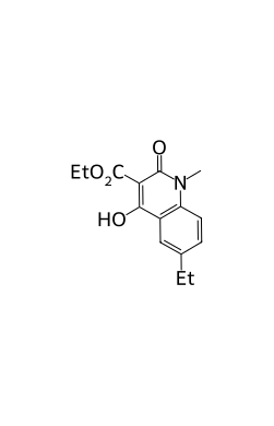 CCOC(=O)c1c(O)c2cc(CC)ccc2n(C)c1=O